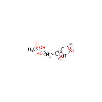 CC(/C=C/C=C/c1ccc2c(c1)C(=O)O[C@H]1CCCC(=O)O[C@@H](C(C)C)C/C=C/C[C@H]21)=C\[C@H](O)[C@@H](O)C[C@H](C)O